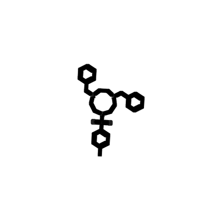 Cc1ccc(S(=O)(=O)N2CCN(Cc3ccccc3)CCN(Cc3ccccc3)CC2)cc1